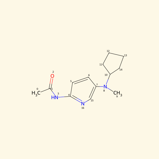 CC(=O)Nc1ccc(N(C)C2CCCC2)cn1